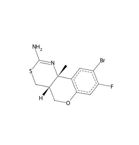 C[C@]12N=C(N)SC[C@H]1COc1cc(F)c(Br)cc12